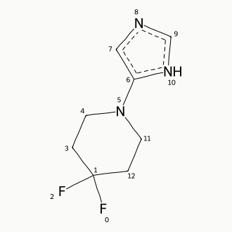 FC1(F)CCN(c2cnc[nH]2)CC1